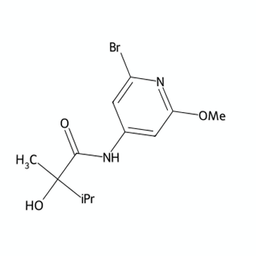 COc1cc(NC(=O)C(C)(O)C(C)C)cc(Br)n1